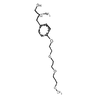 COCCOCCOCCOc1ccc(C[C@H](N)CO)cc1